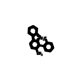 Cc1ccccc1-c1c(C)ccc2c1sc1ccccc12